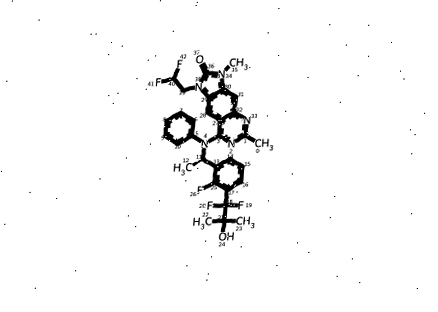 Cc1nc(N(c2ccccc2)[C@H](C)c2cccc(C(F)(F)C(C)(C)O)c2F)c2cc3c(cc2n1)n(C)c(=O)n3CC(F)F